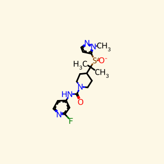 Cn1nccc1[S+]([O-])C(C)(C)C1CCN(C(=O)Nc2ccnc(F)c2)CC1